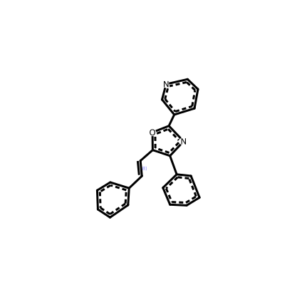 C(=C\c1oc(-c2cccnc2)nc1-c1ccccc1)/c1ccccc1